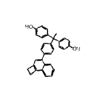 CC(c1ccc(O)cc1)(c1ccc(O)cc1)c1ccc(-c2cc3c(c4ccccc24)CC3)cc1